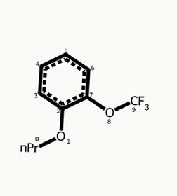 CCCOc1ccccc1OC(F)(F)F